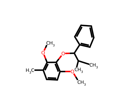 COc1ccc(C)c(OC)c1OC(c1ccccc1)C(C)C